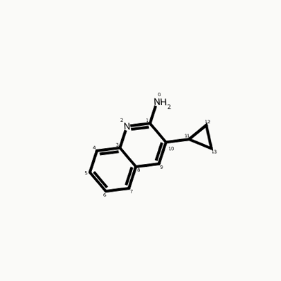 Nc1nc2ccccc2cc1C1CC1